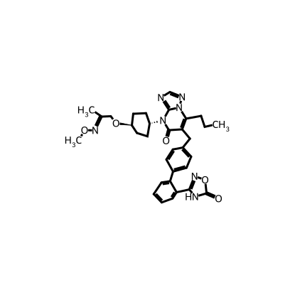 CCCc1c(Cc2ccc(-c3ccccc3-c3noc(=O)[nH]3)cc2)c(=O)n([C@H]2CC[C@H](OCC(C)=NOC)CC2)c2ncnn12